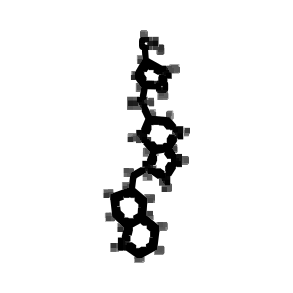 Cc1cc(Nc2cnc3nnn(Cc4ccc5ncccc5c4)c3n2)on1